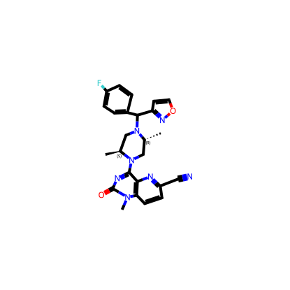 C[C@@H]1CN(c2nc(=O)n(C)c3ccc(C#N)nc23)[C@@H](C)CN1C(c1ccc(F)cc1)c1ccon1